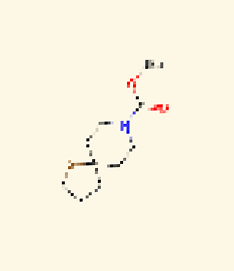 CC(C)(C)OC(=O)N1CCC2(CCCS2)CC1